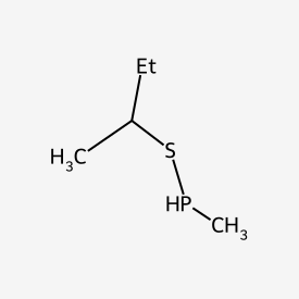 CCC(C)SPC